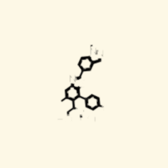 Cc1cc2nc(-c3ccc4c(cnn4C)c3)sc2c(-c2ccc(Cl)cc2)c1C(CO)OC(C)(C)C